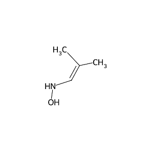 CC(C)=CNO